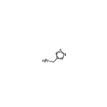 CCCCc1cnsc1